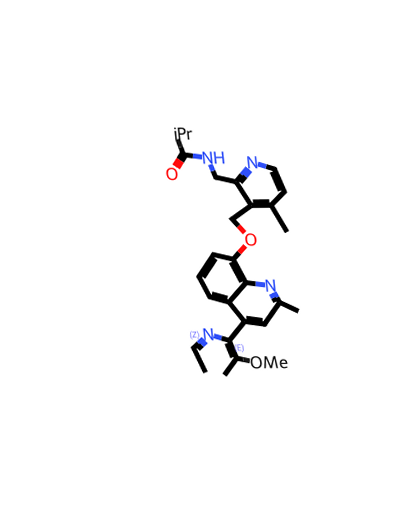 C/C=N\C(=C(/C)OC)c1cc(C)nc2c(OCc3c(C)ccnc3CNC(=O)C(C)C)cccc12